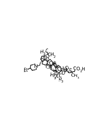 C=C(C)[C@@H]1CC[C@]2(CCN3CCC(CC)CC3)CC[C@]3(C)[C@H](CC[C@@H]4[C@@]5(C)CC[C@H](OC(=O)CC(C)(C)CC(=O)O)C(C)(C)[C@@H]5CC[C@]43C)[C@@H]12